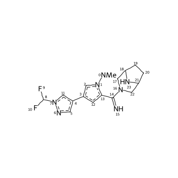 CNn1cc(-c2cnn(C(F)F)c2)cc1C(=N)N1CC2CCC(C1)N2